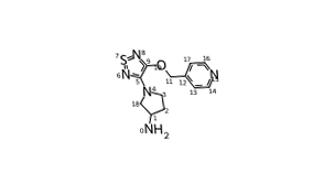 NC1CCN(c2nsnc2OCc2ccncc2)C1